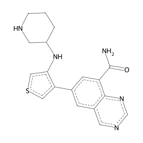 NC(=O)c1cc(-c2cscc2NC2CCCNC2)cc2cncnc12